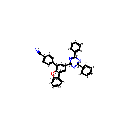 N#Cc1ccc(-c2cc(-c3nc(-c4ccccc4)nc(-c4ccccc4)n3)cc3c2oc2ccccc23)cc1